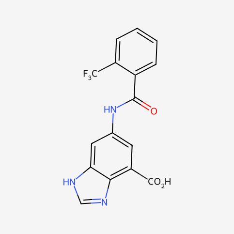 O=C(Nc1cc(C(=O)O)c2nc[nH]c2c1)c1ccccc1C(F)(F)F